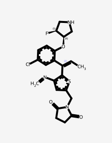 C=Nc1cc(CN2C(=O)CCC2=O)sc1/C(=C\C)c1cc(Cl)ccc1O[C@@H]1CNC[C@@H]1F